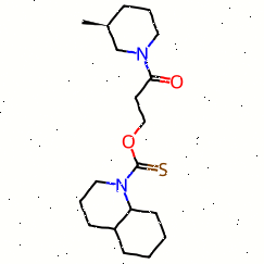 C[C@H]1CCCN(C(=O)CCOC(=S)N2CCCC3CCCCC32)C1